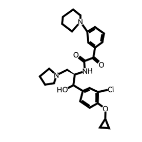 O=C(N[C@H](CN1CCCC1)C(O)c1ccc(OC2CC2)c(Cl)c1)C(=O)c1cccc(N2CCCCC2)c1